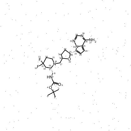 CC(C)(C)OC(=O)NC[C@@H]1CC(F)(F)CCN1CC1CC[C@H](c2ccc3c(N)ncnn23)O1